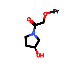 CC(C)OCC(=O)N1CC[C@H](O)C1